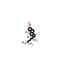 CC(C)CCCC(C)C1CCC2C3CC=C4CC(OC=O)CCC4(C)C3CCC12C